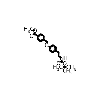 COC(=O)c1ccc(COc2ccc(CCNC(=O)OC(C)(C)C)cc2)cc1